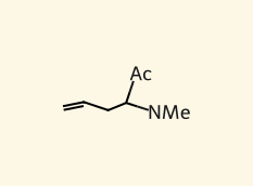 C=CCC(NC)C(C)=O